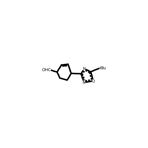 CC(C)(C)c1nc(C2C=CC(C=O)CC2)no1